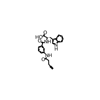 C#CCCC(=O)Nc1cccc(C(=O)N[C@@H](Cc2c[nH]c3ccccc23)C(=O)O)c1